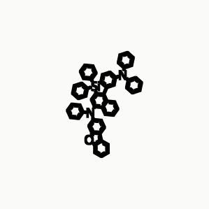 c1ccc(N(c2ccccc2)c2ccc3c(c2)-c2c(cc(N(c4ccccc4)c4ccc5c(c4)oc4ccccc45)c4ccccc24)[Si]3(c2ccccc2)c2ccccc2)cc1